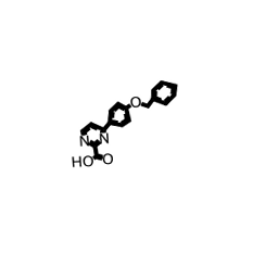 O=C(O)c1nccc(-c2ccc(OCc3ccccc3)cc2)n1